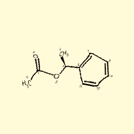 CC(=O)O[C@@H](C)c1ccccc1